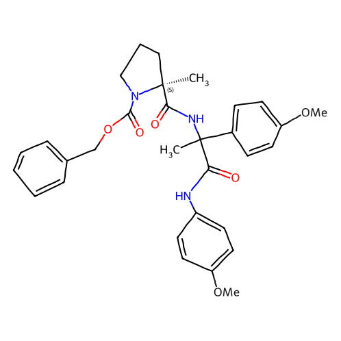 COc1ccc(NC(=O)C(C)(NC(=O)[C@]2(C)CCCN2C(=O)OCc2ccccc2)c2ccc(OC)cc2)cc1